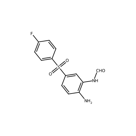 Nc1ccc(S(=O)(=O)c2ccc(F)cc2)cc1NC=O